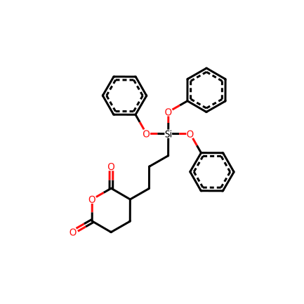 O=C1CCC(CCC[Si](Oc2ccccc2)(Oc2ccccc2)Oc2ccccc2)C(=O)O1